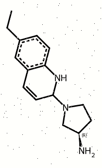 CCc1ccc2c(c1)C=CC(N1CC[C@@H](N)C1)N2